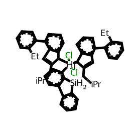 CCc1ccccc1-c1cccc2c1C=C(CC(C)C)[CH]2[Hf]([Cl])([Cl])([c]1cccc2c1[SiH2]c1ccccc1-2)[CH]1C(CC(C)C)=Cc2c(-c3ccccc3CC)cccc21